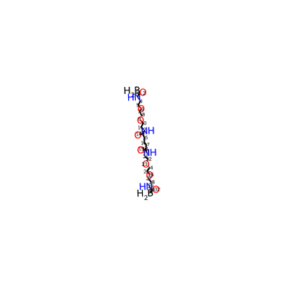 BC(=O)NCCOCCOCCNC(=O)CCCC(=O)NCCOCCOCCNC(B)=O